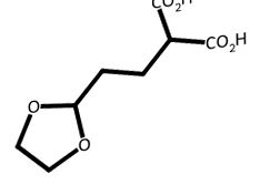 O=C(O)C(CCC1OCCO1)C(=O)O